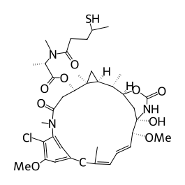 COc1cc2cc(c1Cl)N(C)C(=O)C[C@H](OC(=O)[C@H](C)N(C)C(=O)CCC(C)S)[C@@]1(C)C[C@H]1[C@H](C)[C@@H]1C[C@@](O)(NC(=O)O1)[C@H](OC)/C=C/C=C(\C)C2